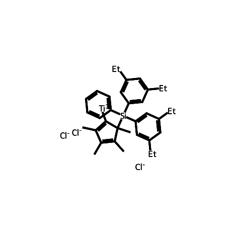 CCc1cc(CC)cc([Si](c2ccccc2)(c2cc(CC)cc(CC)c2)C2(C)C(C)=C(C)C(C)=[C]2[Ti+3])c1.[Cl-].[Cl-].[Cl-]